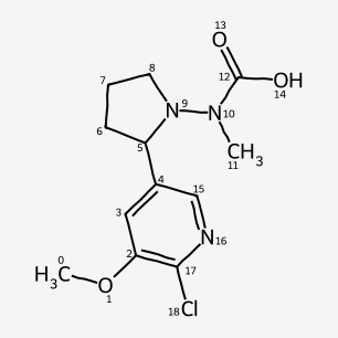 COc1cc(C2CCCN2N(C)C(=O)O)cnc1Cl